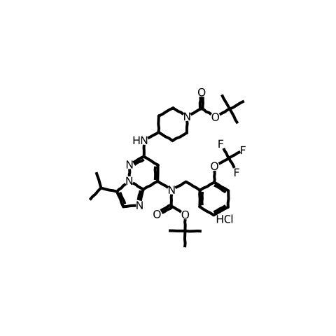 CC(C)c1cnc2c(N(Cc3ccccc3OC(F)(F)F)C(=O)OC(C)(C)C)cc(NC3CCN(C(=O)OC(C)(C)C)CC3)nn12.Cl